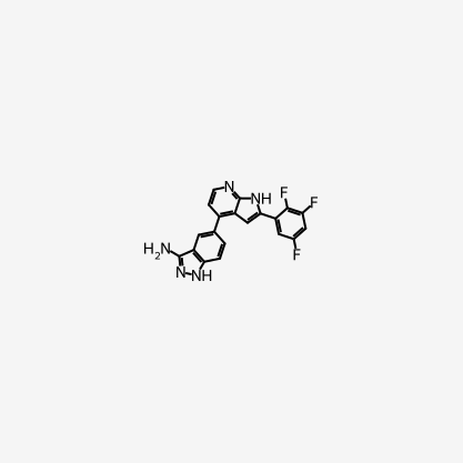 Nc1n[nH]c2ccc(-c3ccnc4[nH]c(-c5cc(F)cc(F)c5F)cc34)cc12